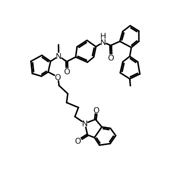 Cc1ccc(-c2ccccc2C(=O)Nc2ccc(C(=O)N(C)c3ccccc3OCCCCCN3C(=O)c4ccccc4C3=O)cc2)cc1